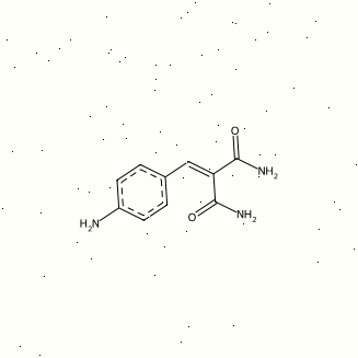 NC(=O)C(=Cc1ccc(N)cc1)C(N)=O